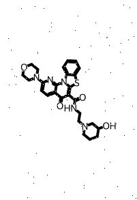 O=C(NCCN1CCCC(O)C1)c1c(=O)c2ccc(N3CCOCC3)nc2n2c1sc1ccccc12